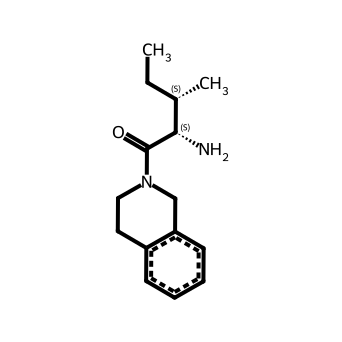 CC[C@H](C)[C@H](N)C(=O)N1CCc2ccccc2C1